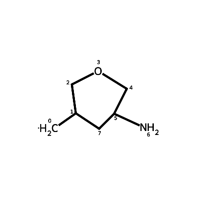 [CH2]C1COCC(N)C1